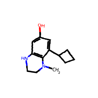 CN1CCNc2cc(O)cc(C3CCC3)c21